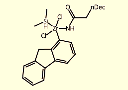 CCCCCCCCCCCC(=O)[NH][Zr]([Cl])([Cl])([c]1cccc2c1Cc1ccccc1-2)[SiH](C)C